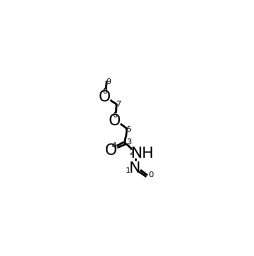 C=NNC(=O)COCOC